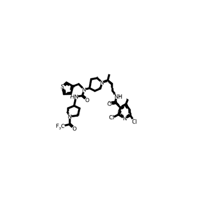 Cc1cc(Cl)nc(Cl)c1C(=O)NCCC(C)N1CCC(N(Cc2ccsc2)C(=O)NC2CCN(C(=O)C(F)(F)F)CC2)CC1